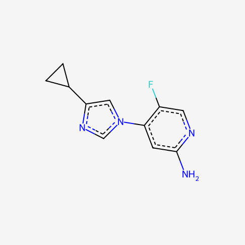 Nc1cc(-n2cnc(C3CC3)c2)c(F)cn1